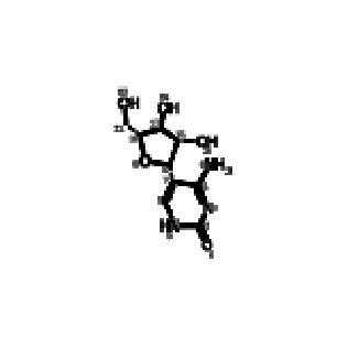 Nc1nc(=O)[nH]cc1[C@@H]1O[C@H](CO)[C@@H](O)[C@@H]1O